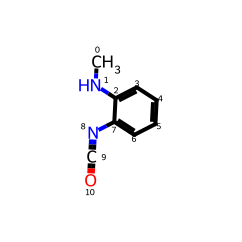 CNc1ccccc1N=C=O